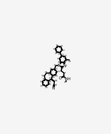 CNC(=O)CCc1nc2c(C)cc(-c3ccccc3)cc2n1Cc1ccc2c(c1)CCc1ccccc1C2=CC#N